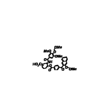 COCOc1cc2ccccc2cc1C(=O)c1ccc(C(=O)O[C@@H]2CCCN(C(=O)O)C[C@H]2NC(=O)c2cc(OC)c(OCOC)c(OC)c2)cc1